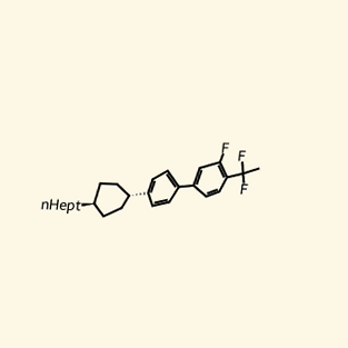 CCCCCCC[C@H]1CC[C@H](c2ccc(-c3ccc(C(C)(F)F)c(F)c3)cc2)CC1